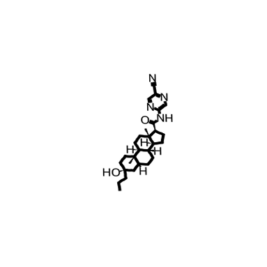 CCC[C@@]1(O)CC[C@@]2(C)[C@H](CC[C@@H]3[C@@H]2CC[C@]2(C)[C@@H](C(=O)Nc4cnc(C#N)cn4)CC[C@@H]32)C1